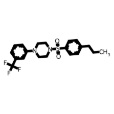 CCCc1ccc(S(=O)(=O)N2CCN(c3cccc(C(F)(F)F)c3)CC2)cc1